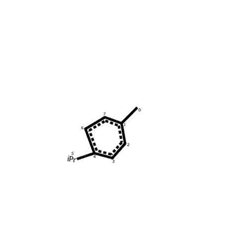 Cc1[c]cc(C(C)C)cc1